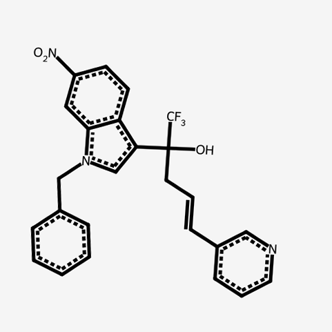 O=[N+]([O-])c1ccc2c(C(O)(C/C=C/c3cccnc3)C(F)(F)F)cn(Cc3ccccc3)c2c1